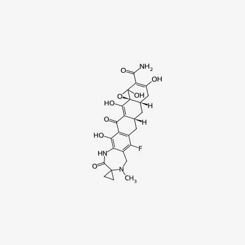 CN1Cc2c(F)c3c(c(O)c2NC(=O)C12CC2)C(=O)C1=C(O)[C@]24OC2(O)C(C(N)=O)=C(O)C[C@@H]4C[C@@H]1C3